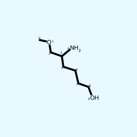 COCC(N)CCCCO